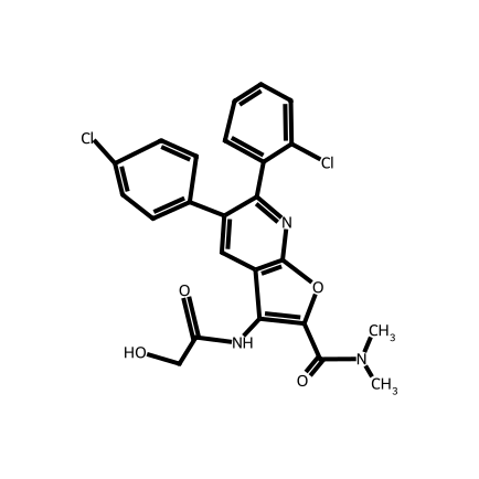 CN(C)C(=O)c1oc2nc(-c3ccccc3Cl)c(-c3ccc(Cl)cc3)cc2c1NC(=O)CO